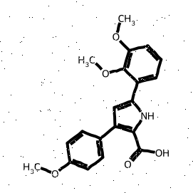 COc1ccc(-c2cc(-c3cccc(OC)c3OC)[nH]c2C(=O)O)cc1